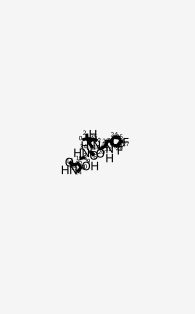 CC1(C)[C@@H]2[C@@H](C(=O)N[C@H](CO)C[C@@H]3CCNC3=O)N(C(=O)c3cc4ccc(F)c(F)c4[nH]3)C[C@@H]21